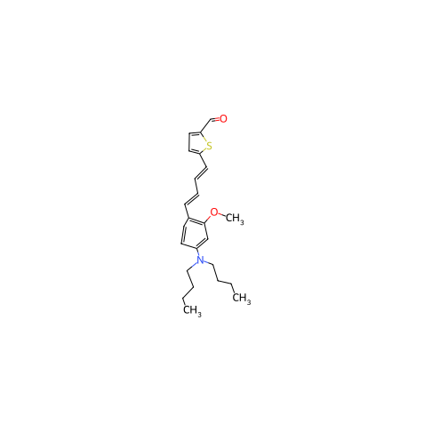 CCCCN(CCCC)c1ccc(C=CC=Cc2ccc(C=O)s2)c(OC)c1